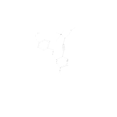 COc1ccc(COc2cc(Cl)ncc2C#CC(CNO)C(F)(F)F)cc1